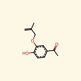 C=C(C)COc1cc(C(C)=O)ccc1O